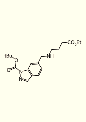 CCOC(=O)CCCNCc1ccc2cnn(C(=O)OC(C)(C)C)c2c1